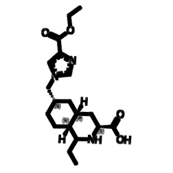 CCOC(=O)c1cn(C[C@H]2CC[C@H]3C(CC)N[C@H](C(=O)O)C[C@H]3C2)cn1